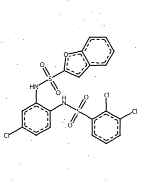 O=S(=O)(Nc1cc(Cl)ccc1NS(=O)(=O)c1cccc(Cl)c1Cl)c1cc2ccccc2o1